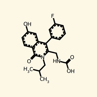 CC(C)Cn1c(CNC(=O)O)c(-c2cccc(F)c2)c2cc(O)ccc2c1=O